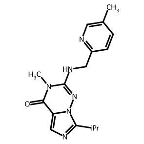 Cc1ccc(CNc2nn3c(C(C)C)ncc3c(=O)n2C)nc1